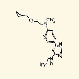 CC(C)CNc1cc(-c2ccc(N(C)CCOCC3CC3)nc2)ncn1